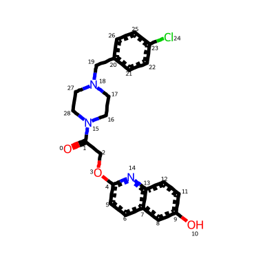 O=C(COc1ccc2cc(O)ccc2n1)N1CCN(Cc2ccc(Cl)cc2)CC1